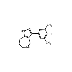 Cc1cc(-c2n[nH]c3c2CNCCC3)cc(C)c1F